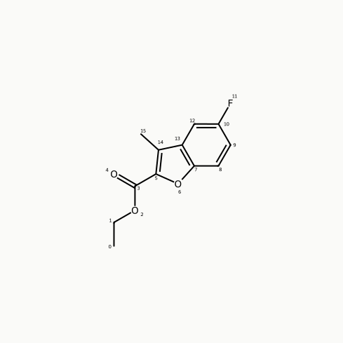 CCOC(=O)c1oc2ccc(F)cc2c1C